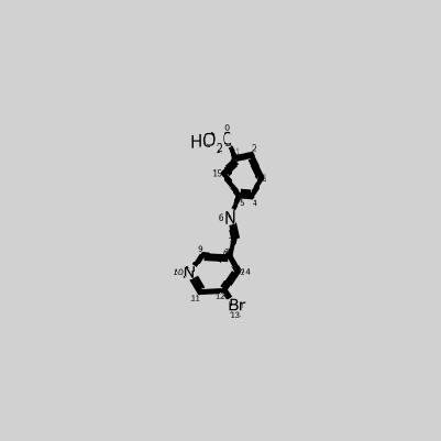 O=C(O)c1cccc(/N=C/c2cncc(Br)c2)c1